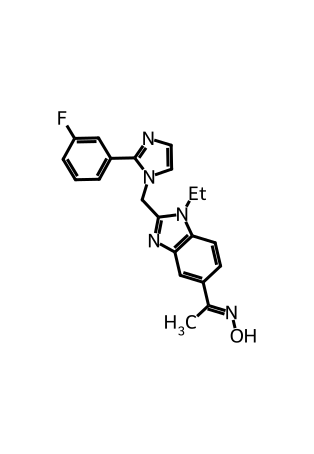 CCn1c(Cn2ccnc2-c2cccc(F)c2)nc2cc(C(C)=NO)ccc21